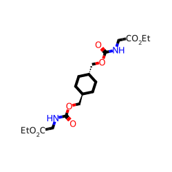 CCOC(=O)CNC(=O)OC[C@H]1CC[C@H](COC(=O)NCC(=O)OCC)CC1